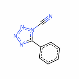 N#Cn1nnnc1-c1ccccc1